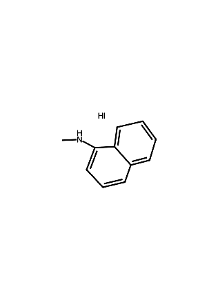 CNc1cccc2ccccc12.I